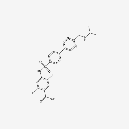 CC(C)NCc1ncc(-c2ccc(S(=O)(=O)Nc3cc(F)c(C(=O)O)cc3F)cc2)cn1